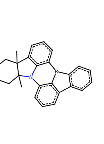 CC12CCCCC1(C)N1c3cccc4c3B(c3ccccc3-4)c3cccc2c31